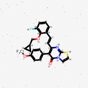 O=c1c(-c2ccc(OC(F)(F)F)cc2)c(C=Cc2cccc(F)c2OCC2CC2)nc2sccn12